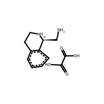 NC[C@@H]1NCCc2ccccc21.O=C(O)C(=O)O